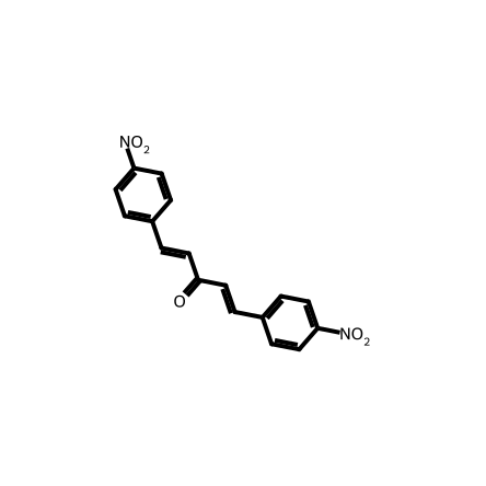 O=C(/C=C/c1ccc([N+](=O)[O-])cc1)/C=C/c1ccc([N+](=O)[O-])cc1